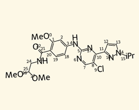 COc1cc(Nc2ncc(Cl)c(-c3ccn(C(C)C)n3)n2)ccc1C(=O)NCC(OC)OC